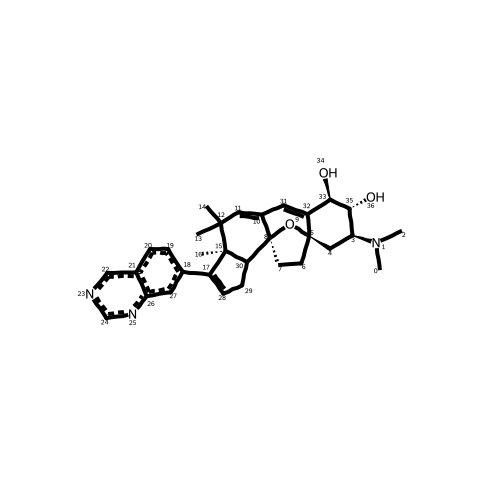 CN(C)[C@H]1C[C@@]23CC[C@@]4(O2)C(=CC(C)(C)[C@]2(C)C(c5ccc6cncnc6c5)=CCC42)C=C3[C@@H](O)[C@@H]1O